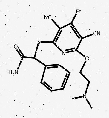 CCc1c(C#N)c(OCCN(C)C)nc(SC(C(N)=O)c2ccccc2)c1C#N